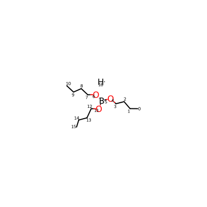 CCCCOB(OCCCC)OCCCC.[H]